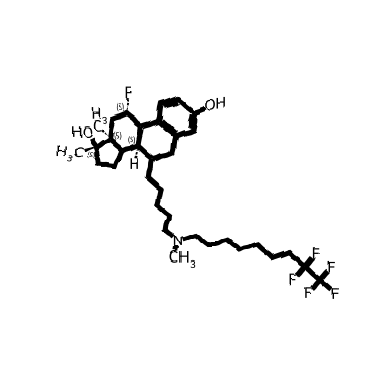 CN(CCCCCCCC(F)(F)C(F)(F)F)CCCCCC1Cc2cc(O)ccc2C2[C@@H]1C1CC[C@](C)(O)[C@@]1(C)C[C@@H]2F